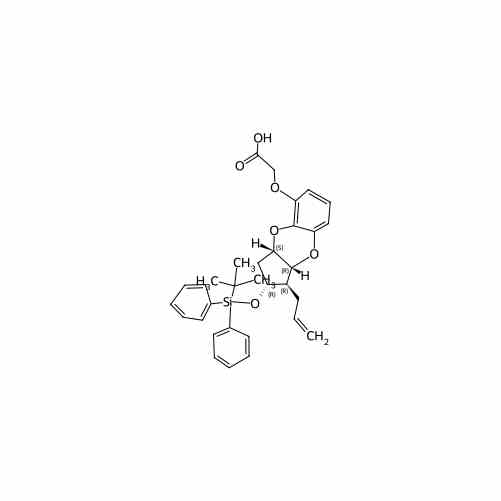 C=CC[C@@H]1[C@H]2Oc3cccc(OCC(=O)O)c3O[C@H]2C[C@H]1O[Si](c1ccccc1)(c1ccccc1)C(C)(C)C